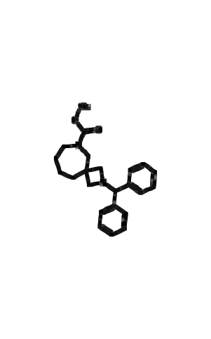 CC(C)(C)OC(=O)N1CCCCC2(C1)CN(C(c1ccccc1)c1ccccc1)C2